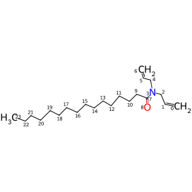 C=CCN(CC=C)C(=O)CCCCCCCCCCCCCCC